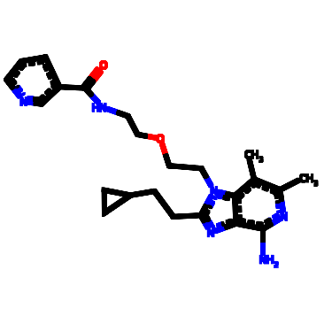 Cc1nc(N)c2nc(CCC3CC3)n(CCOCCNC(=O)c3cccnc3)c2c1C